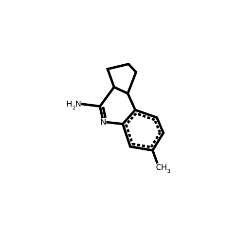 Cc1ccc2c(c1)N=C(N)C1CCCC21